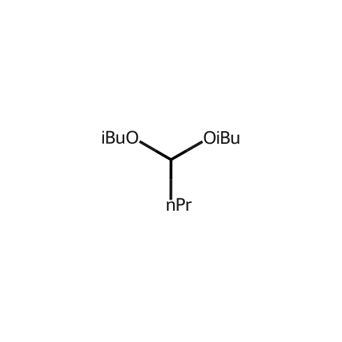 CCCC(OCC(C)C)OCC(C)C